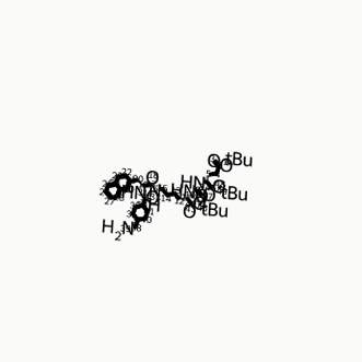 CC(C)(C)OC(=O)CC[C@@H](NC(=O)N[C@@H](CCCCNC(=O)[C@H](Cc1ccc2ccccc2c1)NC(=O)C1CCC(CN)CC1)C(=O)OC(C)(C)C)C(=O)OC(C)(C)C